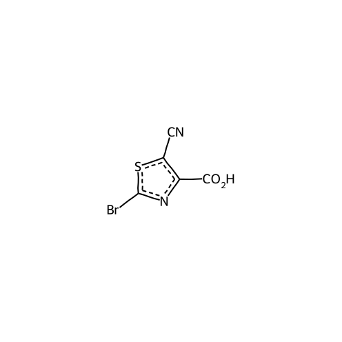 N#Cc1sc(Br)nc1C(=O)O